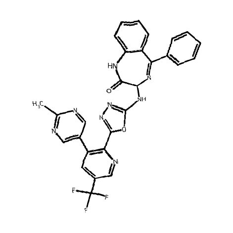 Cc1ncc(-c2cc(C(F)(F)F)cnc2-c2nnc(NC3N=C(c4ccccc4)c4ccccc4NC3=O)o2)cn1